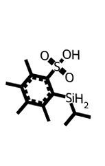 Cc1c(C)c(C)c(S(=O)(=O)O)c([SiH2]C(C)C)c1C